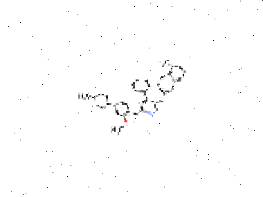 COc1cc(C2CCC(C)CC2)ccc1Cc1cc2c(cn1)CC1=Cc3cccc(C)c3CC1c1ccccc1-2